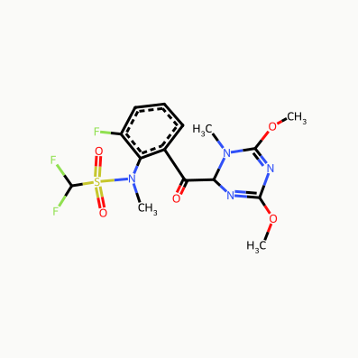 COC1=NC(C(=O)c2cccc(F)c2N(C)S(=O)(=O)C(F)F)N(C)C(OC)=N1